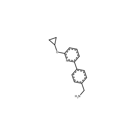 NCc1ccc(-c2cccc(OC3CC3)n2)cc1